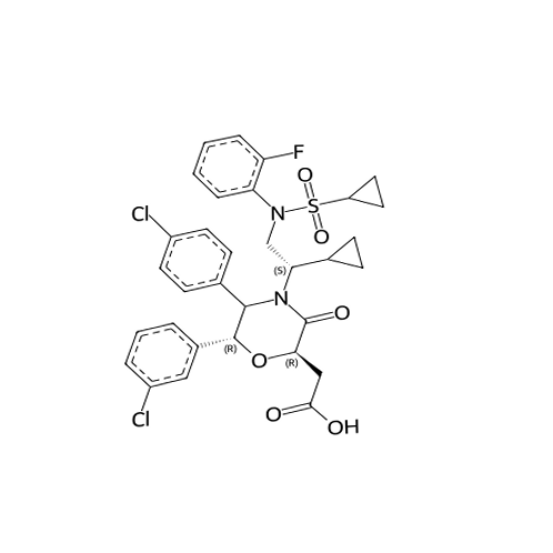 O=C(O)C[C@H]1O[C@H](c2cccc(Cl)c2)C(c2ccc(Cl)cc2)N([C@H](CN(c2ccccc2F)S(=O)(=O)C2CC2)C2CC2)C1=O